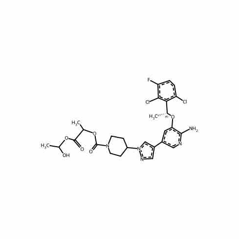 CC(O)OC(=O)C(C)OC(=O)N1CCC(n2cc(-c3cnc(N)c(O[C@H](C)c4c(Cl)ccc(F)c4Cl)c3)cn2)CC1